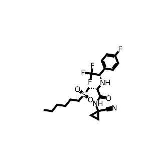 CCCCCCS(=O)(=O)C[C@H](N[C@@H](c1ccc(F)cc1)C(F)(F)F)C(=O)NC1(C#N)CC1